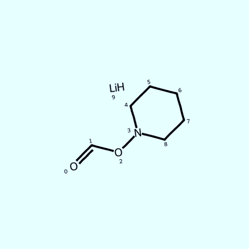 O=CON1CCCCC1.[LiH]